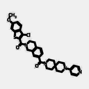 COc1ccc2c(Cl)c(C(=O)N3CCc4ccc(C(=O)N5CCC6(CC5)CCN(c5ccncc5)CC6)cc4C3)sc2c1